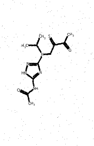 CC(=O)Nc1nc(N(CC(=S)C(C)=O)C(C)C)n[nH]1